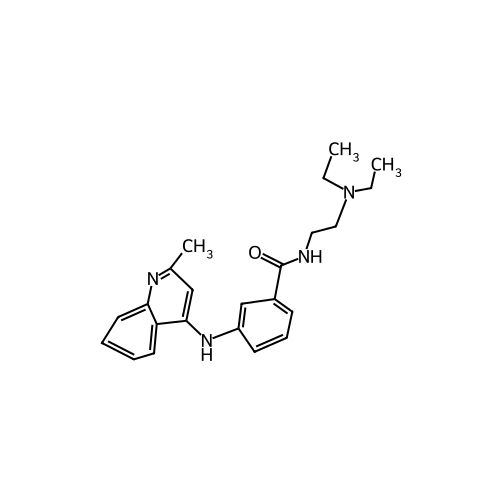 CCN(CC)CCNC(=O)c1cccc(Nc2cc(C)nc3ccccc23)c1